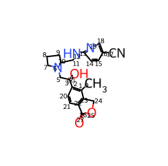 Cc1c([C@@H](O)CN2CCCC2CNc2ccc(C#N)cn2)ccc2c1COC2=O